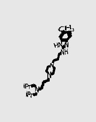 Cc1ccc2nc(NCCCN3CCN(CCCN(CC(C)C)CC(C)C)CC3)[nH]c2c1